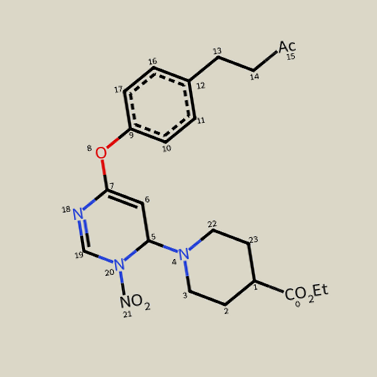 CCOC(=O)C1CCN(C2C=C(Oc3ccc(CCC(C)=O)cc3)N=CN2[N+](=O)[O-])CC1